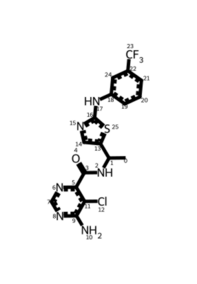 CC(NC(=O)c1ncnc(N)c1Cl)c1cnc(Nc2cccc(C(F)(F)F)c2)s1